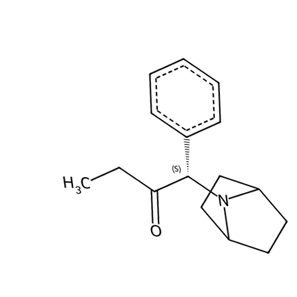 CCC(=O)[C@H](c1ccccc1)N1C2CCC1CC2